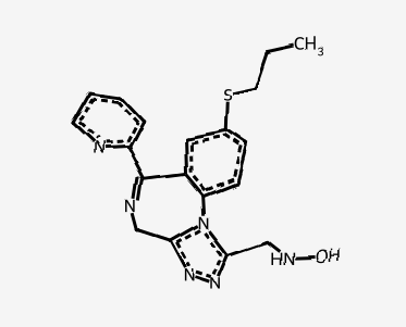 CCCSc1ccc2c(c1)C(c1ccccn1)=NCc1nnc(CNO)n1-2